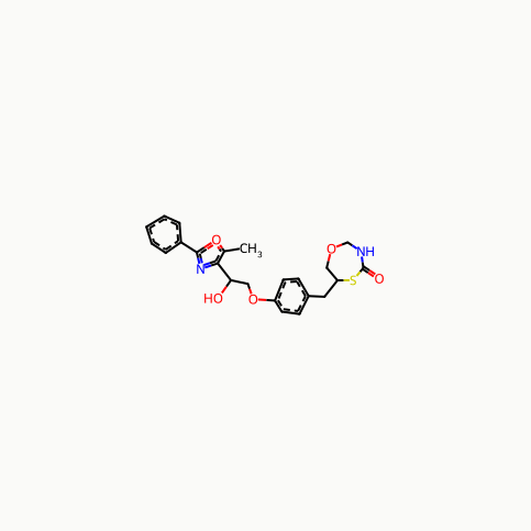 Cc1oc(-c2ccccc2)nc1C(O)COc1ccc(CC2COCNC(=O)S2)cc1